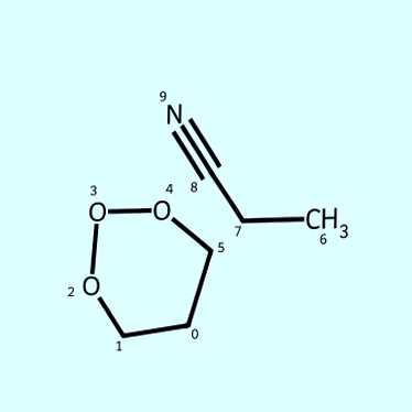 C1COOOC1.CCC#N